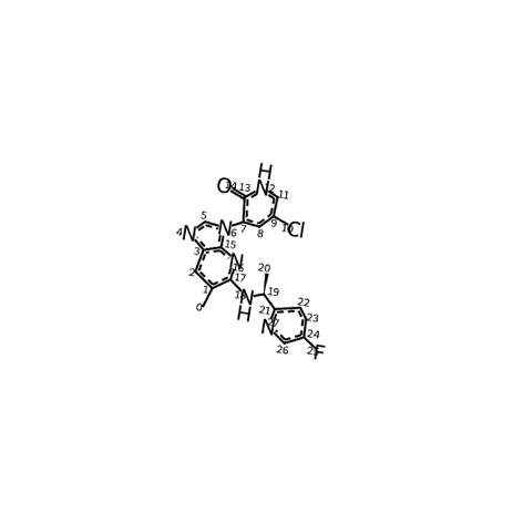 Cc1cc2ncn(-c3cc(Cl)c[nH]c3=O)c2nc1N[C@@H](C)c1ccc(F)cn1